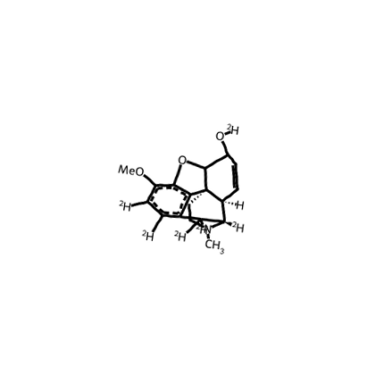 [2H]OC1C=C[C@@H]2[C@@]34CCN(C)[C@]2([2H])C([2H])([2H])c2c([2H])c([2H])c(OC)c(c23)OC14